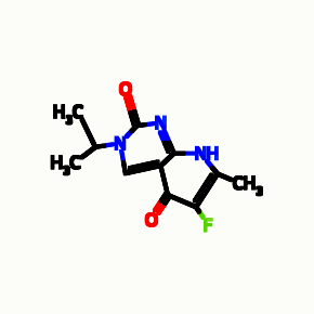 Cc1[nH]c2nc(=O)n(C(C)C)cc2c(=O)c1F